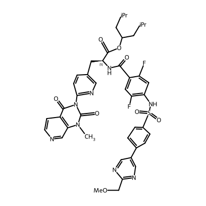 COCc1ncc(-c2ccc(S(=O)(=O)Nc3cc(F)c(C(=O)N[C@@H](Cc4ccc(-n5c(=O)c6ccncc6n(C)c5=O)nc4)C(=O)OC(CC(C)C)CC(C)C)cc3F)cc2)cn1